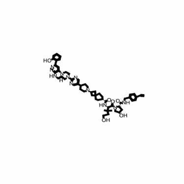 C#Cc1ccc(CNC(=O)[C@@H]2C[C@@H](O)CN2C(=O)[C@@H](NC(=O)[C@H]2CCC3(CC2)C[C@H](N2CCC(c4cnc(N5CCN6c7cc(-c8ccccc8O)nnc7NC[C@H]6C5)nc4)CC2)C3)C(C)(C)CCO)cc1